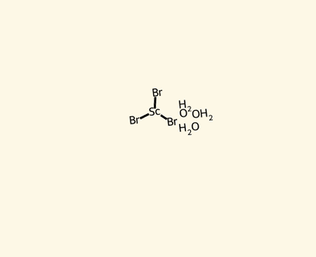 O.O.O.[Br][Sc]([Br])[Br]